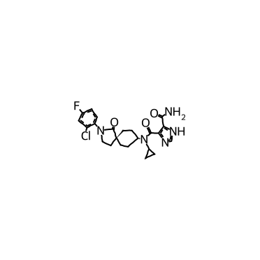 NC(=O)c1[nH]cnc1C(=O)N(C1CC1)[C@H]1CC[C@]2(CCN(c3ccc(F)cc3Cl)C2=O)CC1